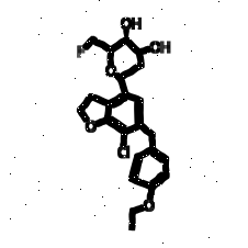 CCOc1ccc(Cc2cc(C3CC(O)[C@H](O)C(CF)O3)c3c(c2Cl)OCC3)cc1